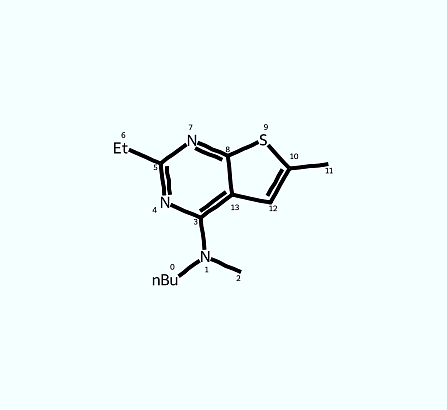 CCCCN(C)c1nc(CC)nc2sc(C)cc12